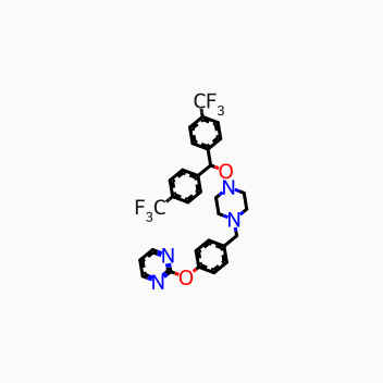 FC(F)(F)c1ccc(C(ON2CCN(Cc3ccc(Oc4ncccn4)cc3)CC2)c2ccc(C(F)(F)F)cc2)cc1